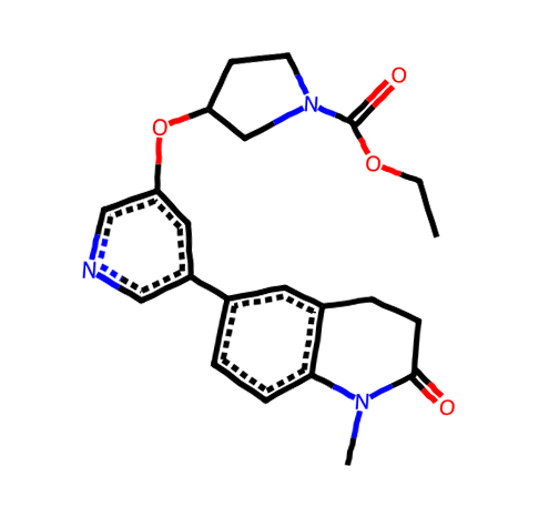 CCOC(=O)N1CCC(Oc2cncc(-c3ccc4c(c3)CCC(=O)N4C)c2)C1